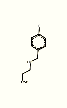 CC(=O)OCCNCc1ccc(F)cc1